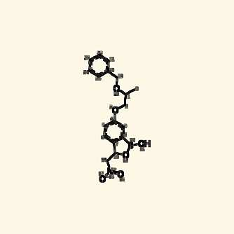 CC(COc1ccc2c(c1)B(O)OC2C[N+](=O)[O-])OCc1ccccc1